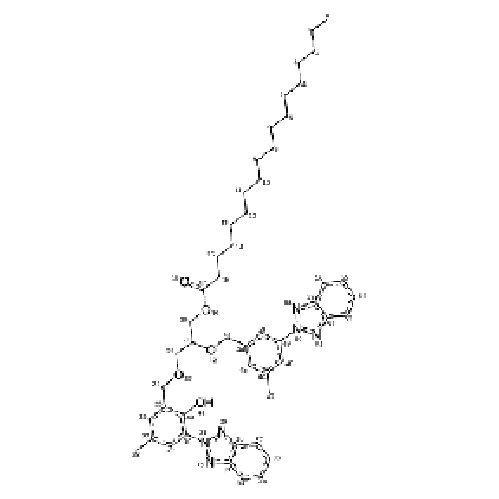 CCCCCCCCCCCCCCCCCC(=O)OCC(COCc1cc(C)cc(-n2nc3ccccc3n2)c1O)OCc1cc(C)cc(-n2nc3ccccc3n2)c1